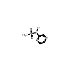 CCN(c1cnccn1)S(C)(=O)=O